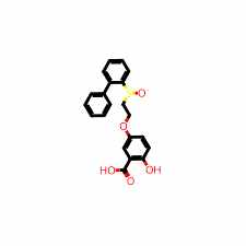 O=C(O)c1cc(OCC[S+]([O-])c2ccccc2-c2ccccc2)ccc1O